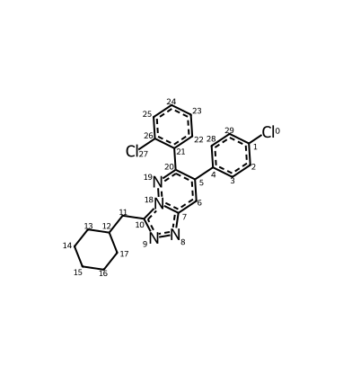 Clc1ccc(-c2cc3nnc(CC4CCCCC4)n3nc2-c2ccccc2Cl)cc1